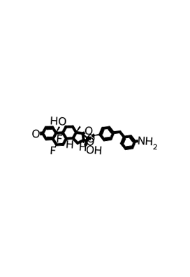 C[C@]12C=CC(=O)C=C1[C@@H](F)C[C@H]1C3C[C@H]4O[C@H](c5ccc(Cc6cccc(N)c6)cc5)O[C@@]4(C(=O)CO)[C@@]3(C)C[C@H](O)[C@@]12F